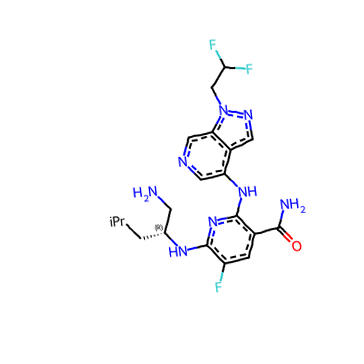 CC(C)C[C@H](CN)Nc1nc(Nc2cncc3c2cnn3CC(F)F)c(C(N)=O)cc1F